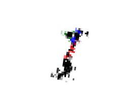 CC(C)CCC[C@@H](C)[C@H]1CC[C@H]2[C@@H]3CC=C4C[C@@H](OC(=O)COCC(=O)OCCONC(=O)c5cc6c(ncn6C)c(F)c5Nc5ccc(Br)cc5Cl)CC[C@]4(C)[C@H]3CC[C@]12C